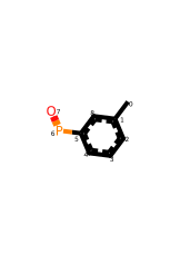 Cc1cccc(P=O)c1